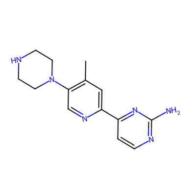 Cc1cc(-c2ccnc(N)n2)ncc1N1CCNCC1